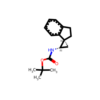 CC(C)(C)OC(=O)N[C@H]1C[C@]12CCc1ccccc12